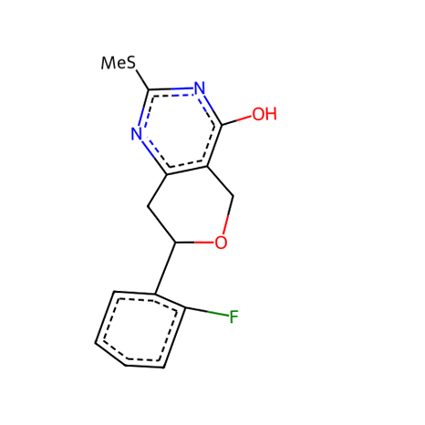 CSc1nc(O)c2c(n1)CC(c1ccccc1F)OC2